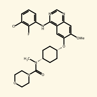 COc1cc2ncnc(Nc3cccc(Cl)c3F)c2cc1O[C@H]1CC[C@@H](N(C)C(=O)N2CCOCC2)CC1